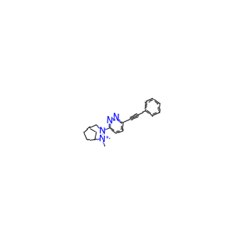 C[N+]1(C)C2CCC(C2)CN1c1ccc(C#Cc2ccccc2)nn1